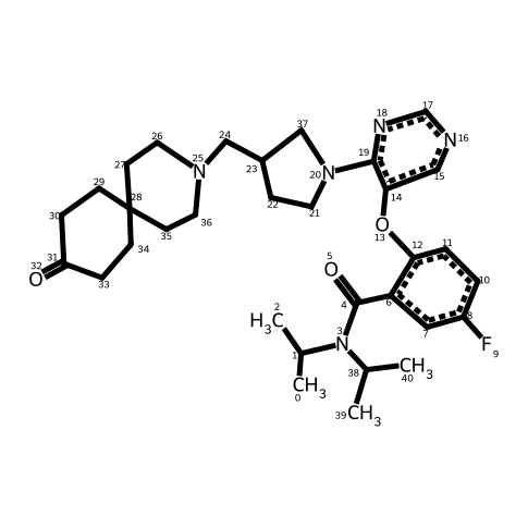 CC(C)N(C(=O)c1cc(F)ccc1Oc1cncnc1N1CCC(CN2CCC3(CCC(=O)CC3)CC2)C1)C(C)C